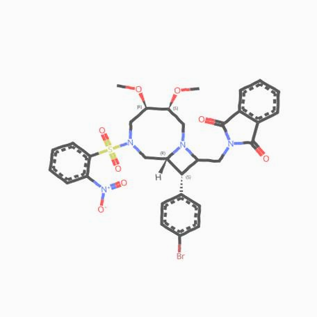 CO[C@H]1CN2C(CN3C(=O)c4ccccc4C3=O)[C@H](c3ccc(Br)cc3)[C@@H]2CN(S(=O)(=O)c2ccccc2[N+](=O)[O-])C[C@H]1OC